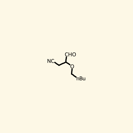 CCCCCOC(C=O)CC#N